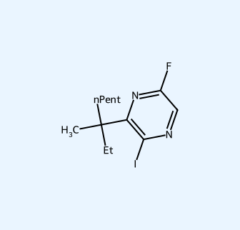 CCCCCC(C)(CC)c1nc(F)cnc1I